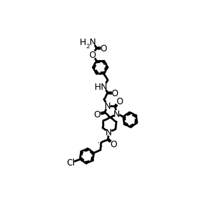 NC(=O)Oc1ccc(CNC(=O)CN2C(=O)N(c3ccccc3)C3(CCN(C(=O)[CH]Cc4ccc(Cl)cc4)CC3)C2=O)cc1